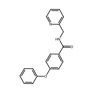 O=C(NCc1ccccn1)c1ccc(Oc2ccccc2)cc1